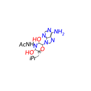 CC(=O)NN1C(O)C(n2cnc3c(N)ncnc32)O[C@H](CC(C)C)C1O